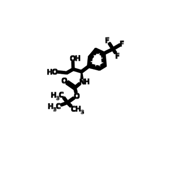 CC(C)(C)OC(=O)N[C@H](c1ccc(C(F)(F)F)cc1)C(O)CO